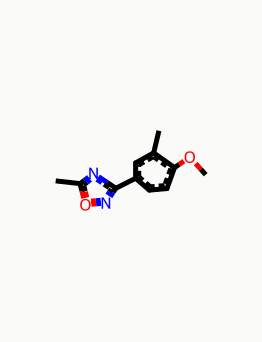 COc1ccc(-c2noc(C)n2)cc1C